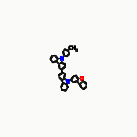 Cc1ccc(-n2c3ccccc3c3cc(-c4ccc5c6ccccc6n(-c6ccc7oc8ccccc8c7c6)c5c4)ccc32)cc1